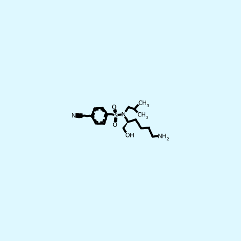 CC(C)CN([C@H](CO)CCCCN)S(=O)(=O)c1ccc(C#N)cc1